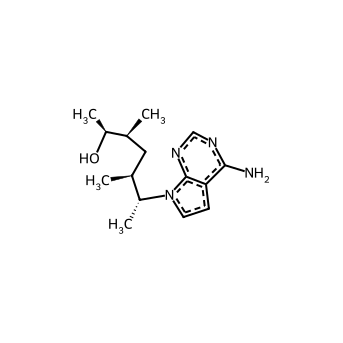 C[C@H](O)[C@@H](C)C[C@H](C)[C@@H](C)n1ccc2c(N)ncnc21